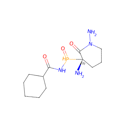 NN1CCC[C@](N)([PH](=O)NC(=O)C2CCCCC2)C1=O